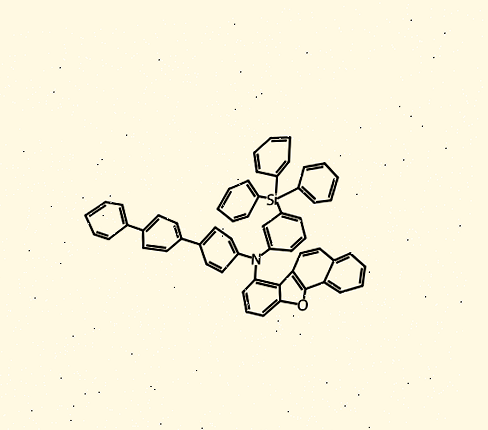 c1ccc(-c2ccc(-c3ccc(N(c4cccc([Si](c5ccccc5)(c5ccccc5)c5ccccc5)c4)c4cccc5oc6c7ccccc7ccc6c45)cc3)cc2)cc1